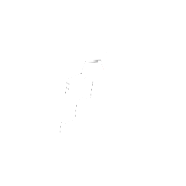 CCCC=Cc1ccc2cc(C(=O)OCC)oc2c1